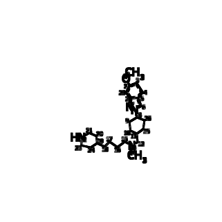 COc1ccc2cn(C3CCC(CN(C)CCCCC4CCNCC4)CC3)nc2c1